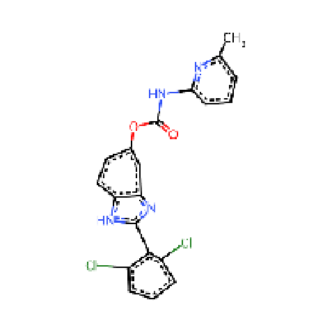 Cc1cccc(NC(=O)Oc2ccc3[nH]c(-c4c(Cl)cccc4Cl)nc3c2)n1